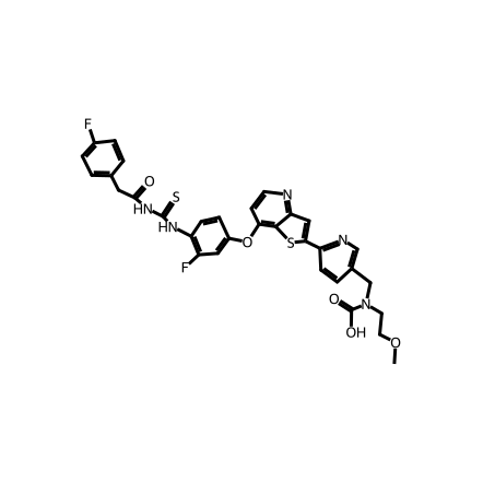 COCCN(Cc1ccc(-c2cc3nccc(Oc4ccc(NC(=S)NC(=O)Cc5ccc(F)cc5)c(F)c4)c3s2)nc1)C(=O)O